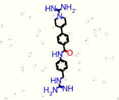 N=C(N)NCc1ccc(NC(=O)c2ccc(C3=CCN(C(=N)N)CC3)cc2)cc1